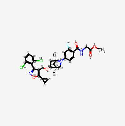 COC(=O)CNC(=O)c1ccc(N2C[C@@H]3C[C@H]2C[C@H]3OCc2c(-c3c(Cl)cccc3Cl)noc2C2CC2)cc1F